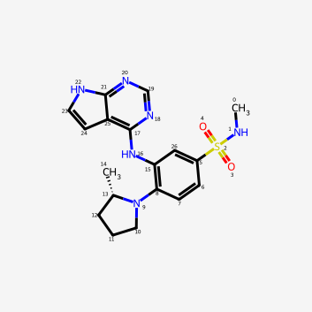 CNS(=O)(=O)c1ccc(N2CCC[C@@H]2C)c(Nc2ncnc3[nH]ccc23)c1